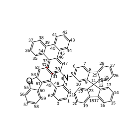 c1ccc(N(c2ccc3c(c2)C2(c4ccccc4-c4ccccc42)c2ccccc2-3)c2ccc3c4ccccc4c4ccccc4c3c2)c(-c2cccc3oc4ccccc4c23)c1